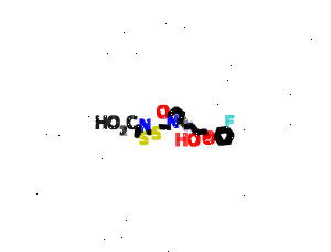 O=C(O)c1csc(SCCN2C(=O)CC[C@@H]2/C=C/C(O)COc2cccc(F)c2)n1